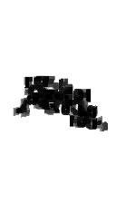 Cc1cc(-c2ncnc3c(C(=O)N[C@H]4CCN(C(=O)[C@H](C)O)C[C@@H]4O)c(C)[nH]c23)c(OCC2CC2)cc1F